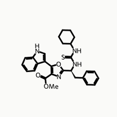 COC(=O)c1nc([C@H](Cc2ccccc2)NC(=S)NC2CCCCC2)oc1-c1c[nH]c2ccccc12